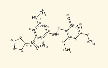 CCc1cc(CC)c(CNc2nc(NC)nc3c2ncn3C2CCCC2)c(=O)[nH]1